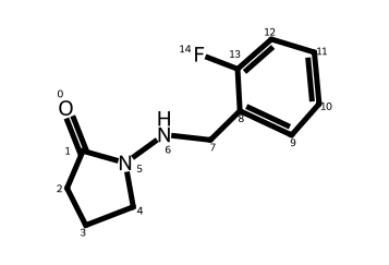 O=C1CCCN1NCc1ccccc1F